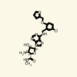 CNC(=O)[C@H]1O[C@@H](n2cnc3c(NCc4cc(Cl)ccc4OCc4ccco4)ncnc32)[C@H](O)[C@@H]1N